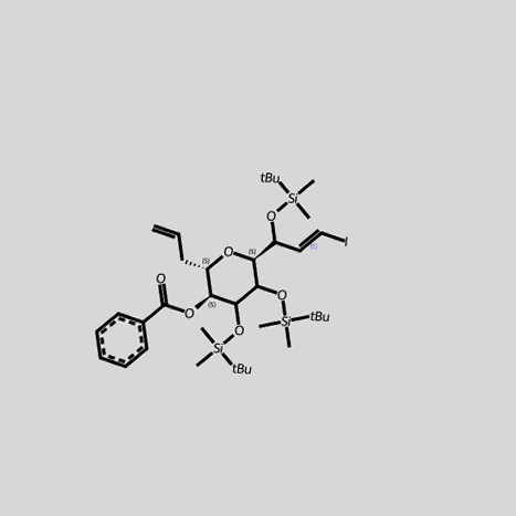 C=CC[C@@H]1O[C@@H](C(/C=C/I)O[Si](C)(C)C(C)(C)C)C(O[Si](C)(C)C(C)(C)C)C(O[Si](C)(C)C(C)(C)C)[C@H]1OC(=O)c1ccccc1